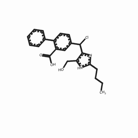 CCCCc1nc(C(Cl)c2ccc(-c3ccccc3)c(C(=O)O)c2)c(CO)[nH]1